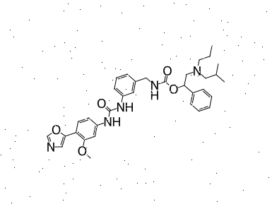 CCCN(CC(C)C)CC(OC(=O)NCc1cccc(NC(=O)Nc2ccc(-c3cnco3)c(OC)c2)c1)c1ccccc1